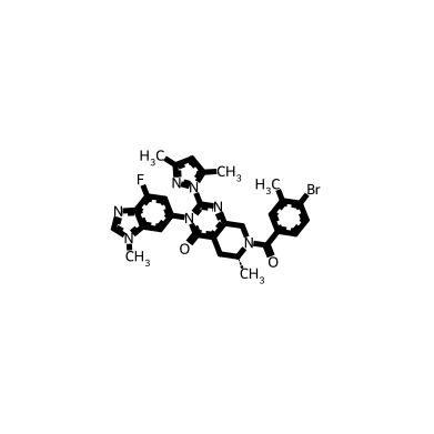 Cc1cc(C)n(-c2nc3c(c(=O)n2-c2cc(F)c4ncn(C)c4c2)C[C@@H](C)N(C(=O)c2ccc(Br)c(C)c2)C3)n1